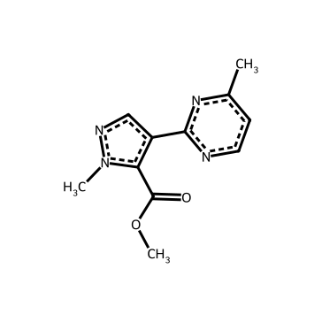 COC(=O)c1c(-c2nccc(C)n2)cnn1C